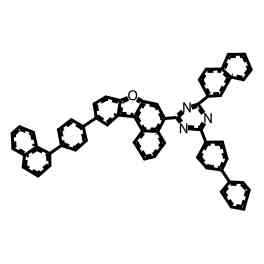 c1ccc(-c2ccc(-c3nc(-c4ccc5ccccc5c4)nc(-c4cc5oc6ccc(-c7ccc(-c8cccc9ccccc89)cc7)cc6c5c5ccccc45)n3)cc2)cc1